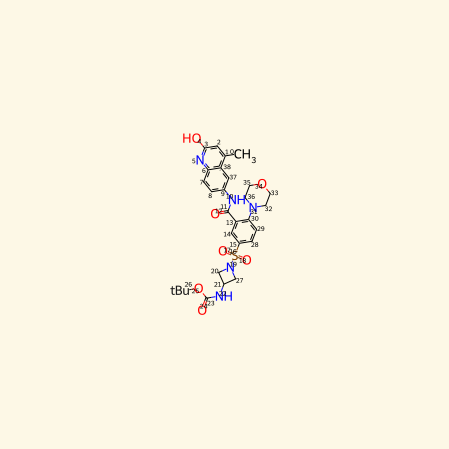 Cc1cc(O)nc2ccc(NC(=O)c3cc(S(=O)(=O)N4CC(NC(=O)OC(C)(C)C)C4)ccc3N3CCOCC3)cc12